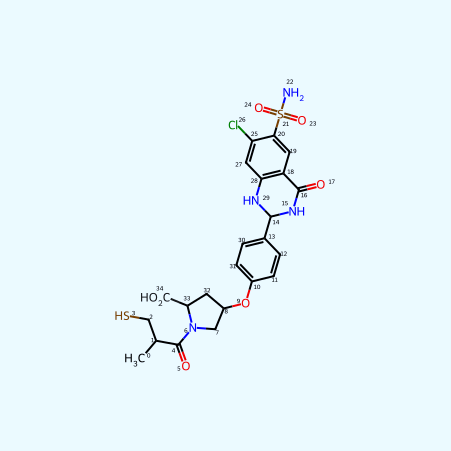 CC(CS)C(=O)N1CC(Oc2ccc(C3NC(=O)c4cc(S(N)(=O)=O)c(Cl)cc4N3)cc2)CC1C(=O)O